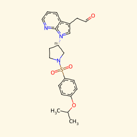 CC(C)Oc1ccc(S(=O)(=O)N2CC[C@H](n3cc(CC=O)c4cccnc43)C2)cc1